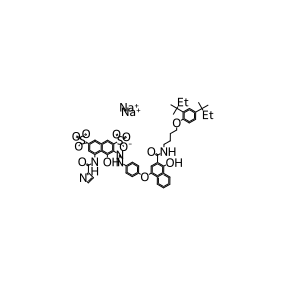 CCC(C)(C)c1ccc(OCCCCNC(=O)c2cc(Oc3ccc(N=Nc4c(S(=O)(=O)[O-])cc5cc(S(=O)(=O)[O-])cc(NC(=O)C6=NC=C6)c5c4O)cc3)c3ccccc3c2O)c(C(C)(C)CC)c1.[Na+].[Na+]